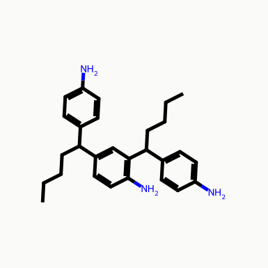 CCCCC(c1ccc(N)cc1)c1ccc(N)c(C(CCCC)c2ccc(N)cc2)c1